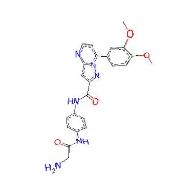 COc1ccc(-c2ccnc3cc(C(=O)Nc4ccc(NC(=O)CN)cc4)nn23)cc1OC